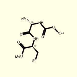 CCC[C@H](NC(=O)OC(C)(C)C)C(=O)N[C@@H](CC(C)C)C(=O)OC